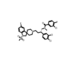 CN(C[C@@H](CCN1CCC2(CC1)CN(S(C)(=O)=O)c1ccc(F)cc12)c1ccc(Cl)c(Cl)c1)C(=O)c1ccc(F)c(Cl)c1